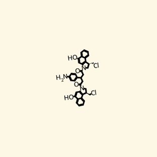 Nc1ccc(C(CC(=O)N2C[C@@H](CCl)c3c2cc(O)c2ccccc32)CC(=O)N2C[C@@H](CCl)c3c2cc(O)c2ccccc32)cc1